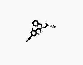 CC#Cc1cc(C)c(CC(=O)N(CC(=O)OC)Cc2ccccn2)c(C)c1